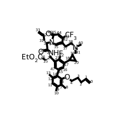 C=CCCCOc1c(C)c(C)cc(C)c1-c1cc(C2CC2)c(F)c([C@H](CC(=O)OCC)NC(=O)[C@H](CC=C)n2cc(CCN(C)C)c(C(F)(F)F)cc2=O)c1